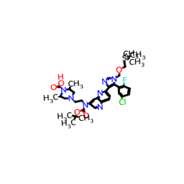 CC1CN(CCN(C(=O)OC(C)(C)C)c2cnc3ccc(-c4ncn(COCC[Si](C)(C)C)c4-c4cc(Cl)ccc4F)nc3c2)C[C@@H](C)N1C(=O)O